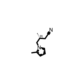 Cc1cccn1C[C@H](C)CC#N